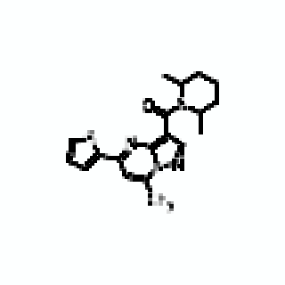 CC1CCCC(C)N1C(=O)c1cnn2c(C(F)(F)F)cc(-c3cccs3)nc12